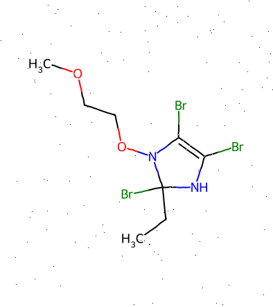 CCC1(Br)NC(Br)=C(Br)N1OCCOC